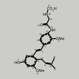 COc1cc(/C=C/c2cc(O)cc(OC)c2CC=C(C)C)ccc1NC(=O)CNC(=O)O